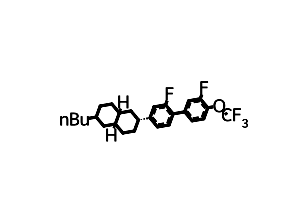 CCCCC1CC[C@@H]2C[C@H](c3ccc(-c4ccc(OC(F)(F)F)c(F)c4)c(F)c3)CC[C@@H]2C1